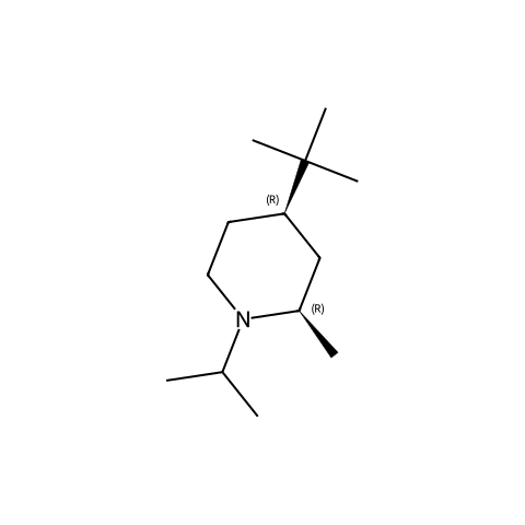 CC(C)N1CC[C@@H](C(C)(C)C)C[C@H]1C